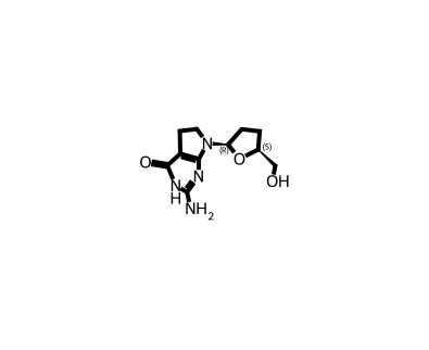 Nc1nc2c(c(=O)[nH]1)CCN2[C@H]1CC[C@@H](CO)O1